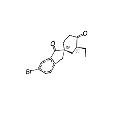 CC[C@H]1C[C@@]2(CCC1=O)Cc1ccc(Br)cc1C2=O